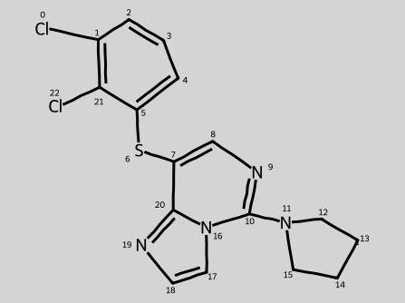 Clc1cccc(Sc2cnc(N3C[CH]CC3)n3ccnc23)c1Cl